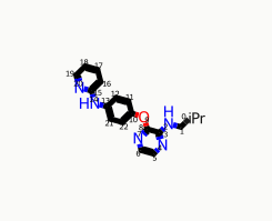 CC(C)CNc1nccnc1Oc1ccc(Nc2ccccn2)cc1